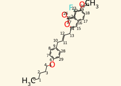 CCCCCOc1ccc(C/C=C/Cc2cc3ccc(OC)c(F)c3c(=O)o2)cc1